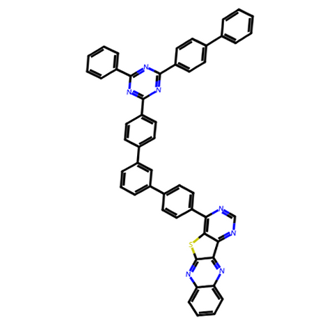 c1ccc(-c2ccc(-c3nc(-c4ccccc4)nc(-c4ccc(-c5cccc(-c6ccc(-c7ncnc8c7sc7nc9ccccc9nc78)cc6)c5)cc4)n3)cc2)cc1